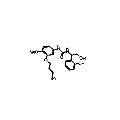 COc1ccc(NC(=O)NC(CO)c2ccccc2O)cc1OCCCC(C)C